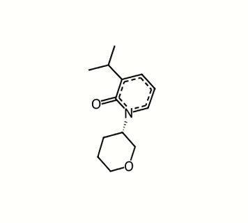 CC(C)c1cccn([C@H]2CCCOC2)c1=O